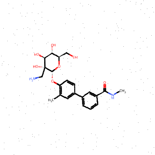 CNC(=O)c1cccc(-c2ccc(O[C@H]3O[C@H](CO)[C@@H](O)[C@H](O)[C@]3(O)CN)c(C)c2)c1